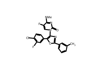 CNc1nc(=O)n(-c2nc(-c3cccc(C)c3)oc2-c2ccc(Cl)c(F)c2)cc1F